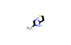 CC1=CN2SC=CC2N1